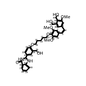 COc1cc(/C=C\c2cc(OC)c(OCCCCCOc3ccc(C4NC(=O)c5ccccc5N4)cc3CO)c(OC)c2)cc(CO)c1CO